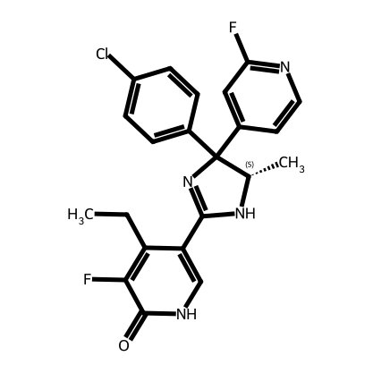 CCc1c(C2=NC(c3ccc(Cl)cc3)(c3ccnc(F)c3)[C@H](C)N2)c[nH]c(=O)c1F